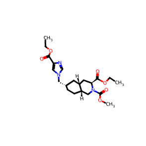 CCOC(=O)c1cn(C[C@H]2CC[C@H]3CN(C(=O)OC)[C@H](C(=O)OCC)C[C@H]3C2)cn1